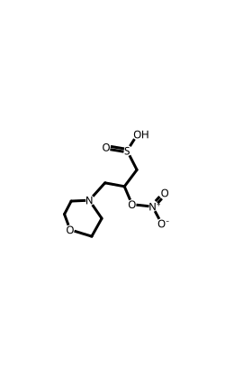 O=[N+]([O-])OC(CN1CCOCC1)CS(=O)O